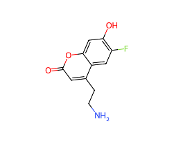 NCCc1cc(=O)oc2cc(O)c(F)cc12